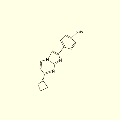 Oc1ccc(-c2cn3ccc(N4CCC4)nc3n2)cc1